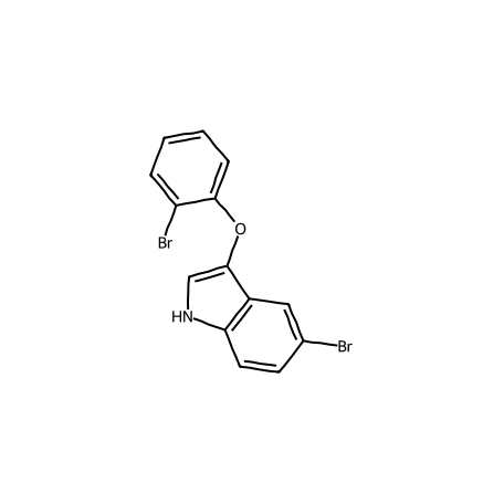 Brc1ccc2[nH]cc(Oc3ccccc3Br)c2c1